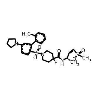 Cc1ccccc1-c1cc(N2CCCC2)ccc1S(=O)(=O)N1CCC(F)(C(=O)N[C@H](C)/C=C\S(C)(=O)=O)CC1